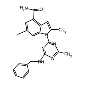 Cc1nc(NCc2ccccc2)nc(-n2c(C)cc3c(C(N)=O)cc(F)cc32)n1